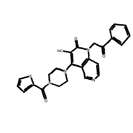 N#Cc1c(N2CCN(C(=O)c3cccs3)CC2)c2cnccc2n(CC(=O)c2ccccc2)c1=O